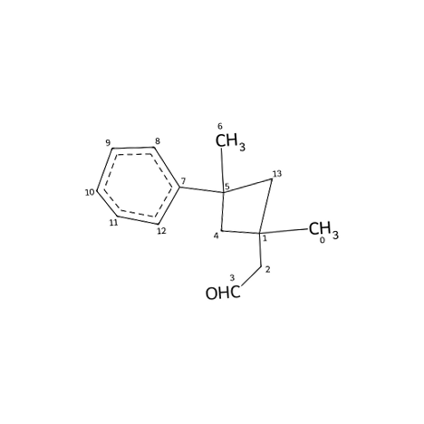 CC1(CC=O)CC(C)(c2ccccc2)C1